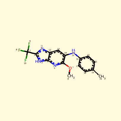 COc1nc2[nH]c(C(F)(F)F)nc2cc1Nc1ccc(C)cc1